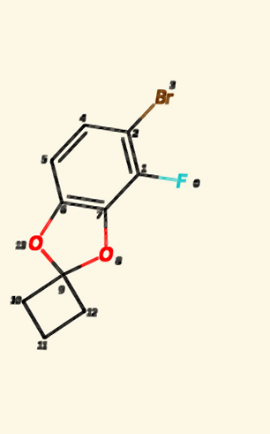 Fc1c(Br)ccc2c1OC1(CCC1)O2